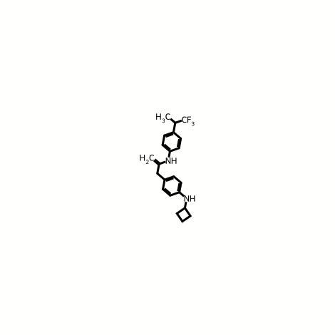 C=C(Cc1ccc(NC2CCC2)cc1)Nc1ccc(C(C)C(F)(F)F)cc1